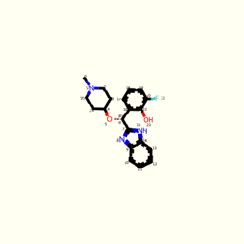 CN1CCC(O[C@@H](c2nc3ccccc3[nH]2)c2cccc(F)c2O)CC1